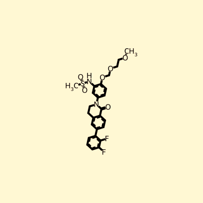 COCCOCOc1ccc(N2CCc3cc(-c4cccc(F)c4F)ccc3C2=O)cc1NS(C)(=O)=O